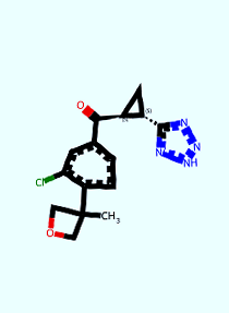 CC1(c2ccc(C(=O)[C@H]3C[C@@H]3c3nn[nH]n3)cc2Cl)COC1